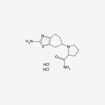 Cl.Cl.NC(=O)C1CCCN1C1CCc2nc(N)sc2C1